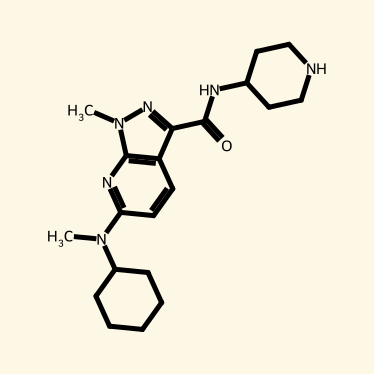 CN(c1ccc2c(C(=O)NC3CCNCC3)nn(C)c2n1)C1CCCCC1